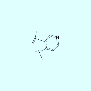 C=C(C)c1cnccc1NC